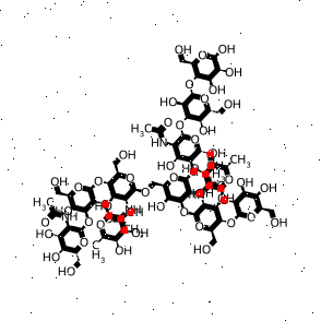 CC(=O)N[C@H]1[C@H](O[C@H]2[C@@H](O)[C@@H](CO)O[C@@H](O[C@H]3[C@H](O)[C@@H](O)[C@H](O)O[C@@H]3CO)[C@@H]2O)O[C@H](CO)[C@@H](O[C@@H]2O[C@H](CO[C@@H]3O[C@H](CO)[C@@H](O[C@@H]4O[C@H](CO)[C@H](O)[C@H](O[C@H]5O[C@H](CO)[C@H](O)[C@H](O)[C@H]5NC(C)=O)[C@H]4O[C@@H]4O[C@@H](C)[C@@H](O)[C@@H](O)[C@@H]4O)[C@H](O)[C@H]3NC(C)=O)[C@H](O)[C@H](O[C@@H]3O[C@H](CO)[C@@H](O[C@@H]4O[C@H](CO)[C@H](O)[C@H](O)[C@H]4O[C@@H]4O[C@@H](C)[C@@H](O)[C@@H](O)[C@@H]4O)[C@H](O)[C@H]3NC(C)=O)[C@H]2O)[C@@H]1O